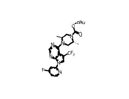 C[C@@H]1CN(c2ncnc3c2c(C(F)(F)F)cn3-c2cc(F)ccn2)[C@@H](C)CN1C(=O)OC(C)(C)C